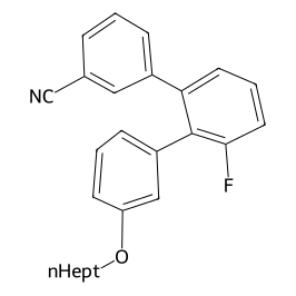 CCCCCCCOc1cccc(-c2c(F)cccc2-c2cccc(C#N)c2)c1